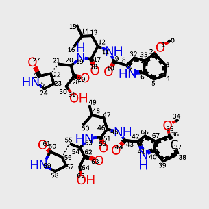 COc1cccc2[nH]c(C(=O)NC(CC(C)C)C(=O)NC(C[C@@H]3CCNC3=O)C(=O)CO)cc12.COc1cccc2[nH]c(C(=O)NC(CC(C)C)C(=O)NC(C[C@@H]3CCNC3=O)C(=O)CO)cc12